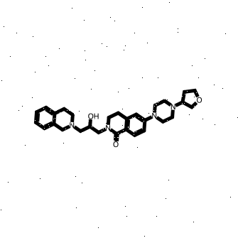 O=C1c2ccc(N3CCN(C4CCOC4)CC3)cc2CCN1CC(O)CN1CCc2ccccc2C1